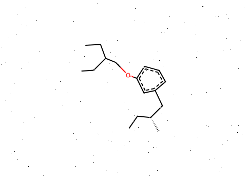 CCC(CC)COc1cccc(C[C@H](C)CC)c1